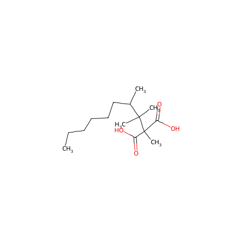 CCCCCCC(C)C(C)(C)C(C)(C(=O)O)C(=O)O